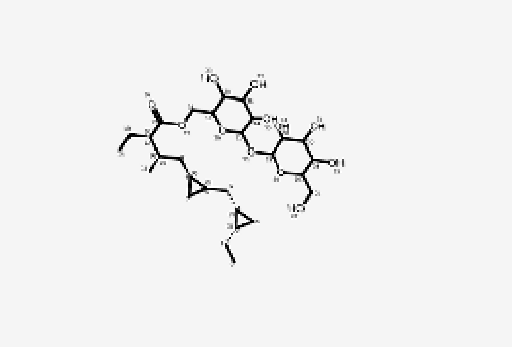 CC[C@H]1C[C@H]1C[C@H]1C[C@H]1C[C@@H](C)[C@@H](CC)C(=O)OCC1OC(OC2OC(CO)C(O)C(O)C2O)C(O)C(O)C1O